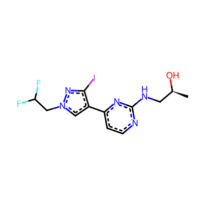 C[C@H](O)CNc1nccc(-c2cn(CC(F)F)nc2I)n1